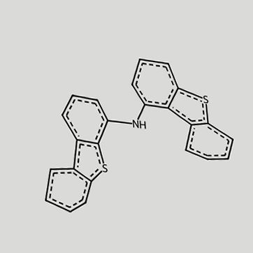 c1ccc2c(c1)sc1c(Nc3cccc4sc5ccccc5c34)cccc12